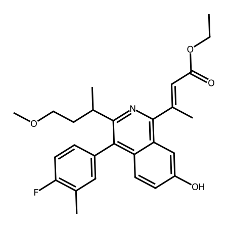 CCOC(=O)/C=C(\C)c1nc(C(C)CCOC)c(-c2ccc(F)c(C)c2)c2ccc(O)cc12